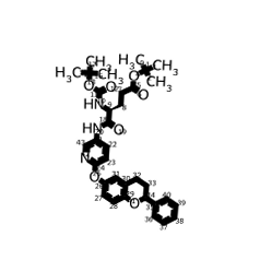 CC(C)(C)OC(=O)CC[C@H](NC(=O)OC(C)(C)C)C(=O)Nc1ccc(Oc2ccc3c(c2)CCC(c2ccccc2)O3)nc1